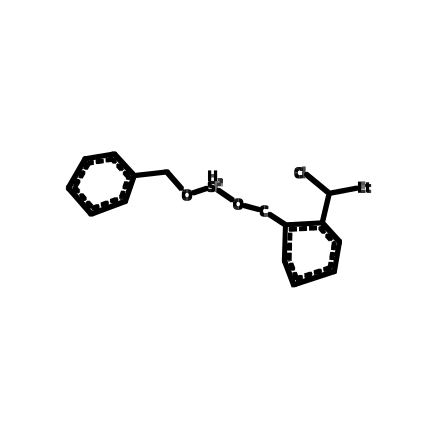 CCC(Cl)c1ccccc1CO[SiH2]OCc1ccccc1